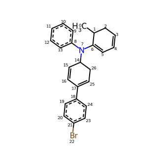 CC1CC=CC=C1N(c1ccccc1)C1C=CC(c2ccc(Br)cc2)=CC1